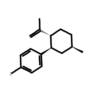 C=C(C)[C@@H]1CC[C@@H](C)C[C@H]1c1ccc(I)cc1